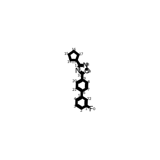 Fc1cccc(-c2ccc(-c3nc(C4CCCC4)no3)cc2)c1